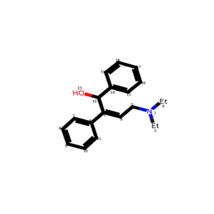 CCN(CC)CC=C(c1ccccc1)C(O)c1ccccc1